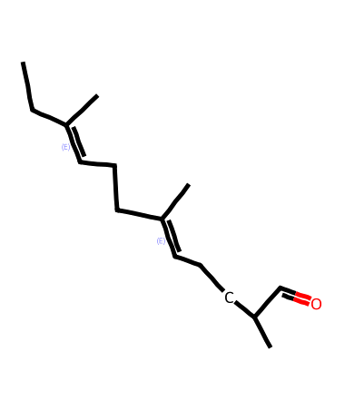 CC/C(C)=C/CC/C(C)=C/CCC(C)C=O